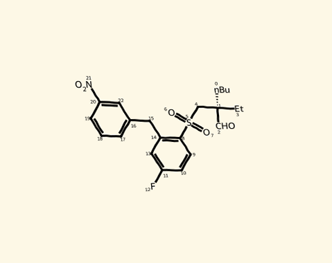 CCCC[C@@](C=O)(CC)CS(=O)(=O)c1ccc(F)cc1Cc1cccc([N+](=O)[O-])c1